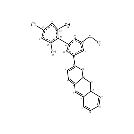 CCOc1cc(C2=CC=C3C=C4C=CC=CC4CC3C2)nc(-c2c(O)cc(O)cc2O)n1